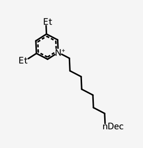 CCCCCCCCCCCCCCCCC[n+]1cc(CC)cc(CC)c1